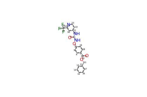 O=C(NOc1ccc(C(=O)OCc2ccccc2)cc1)Nc1ccnc(C(F)(F)F)c1